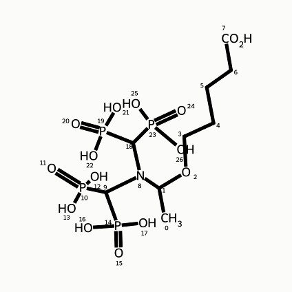 CC(OCCCCC(=O)O)N(C(P(=O)(O)O)P(=O)(O)O)C(P(=O)(O)O)P(=O)(O)O